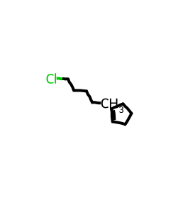 C1=CCCC1.CCCCCCl